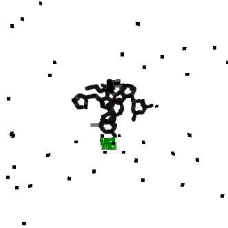 CC[CH2][Zr]([CH3])(=[SiH2])([CH]1C(CC2CCCC2)=Cc2c(-c3cc(C)cc(C)c3)cccc21)[CH]1C(CC2CCCC2)=Cc2c(-c3cc(C)cc(C)c3)cccc21.Cl.Cl